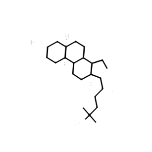 C[C@H](CCC(C)(C)O)[C@H]1CCC2C3CC[C@@H]4C[C@@H](O)CC[C@@H]4C3CC[C@@]21C